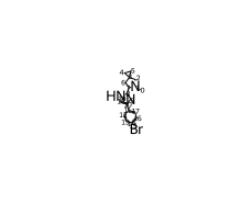 CN1CC2(CC2)CC1c1nc(-c2ccc(Br)cc2)c[nH]1